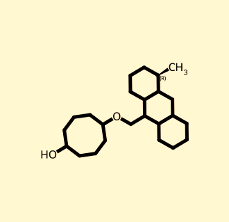 C[C@@H]1CCCC2C(COC3CCCC(O)CCC3)C3CCCCC3CC21